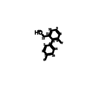 Cc1ccc(-c2c(C)cccc2CO)cc1